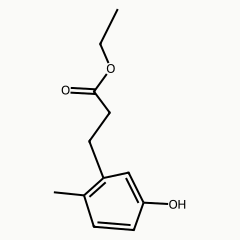 CCOC(=O)CCc1cc(O)ccc1C